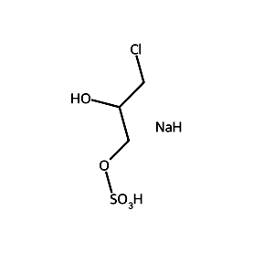 O=S(=O)(O)OCC(O)CCl.[NaH]